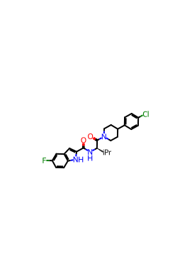 CC(C)[C@@H](NC(=O)c1cc2cc(F)ccc2[nH]1)C(=O)N1CCC(c2ccc(Cl)cc2)CC1